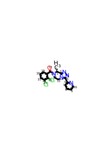 C[C@H]1c2nnc(-c3ccccn3)n2CCN1C(=O)c1cccc(Cl)c1Cl